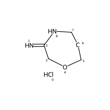 Cl.N=C1COCCCN1